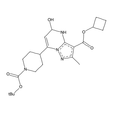 Cc1nn2c(c1C(=O)OC1CCC1)NC(O)C=C2C1CCN(C(=O)OC(C)(C)C)CC1